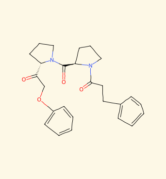 O=C(COc1ccccc1)[C@@H]1CCCN1C(=O)[C@H]1CCCN1C(=O)CCc1ccccc1